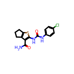 NC(=O)c1c(NC(=O)Nc2ccc(Cl)cc2)sc2c1CCC2